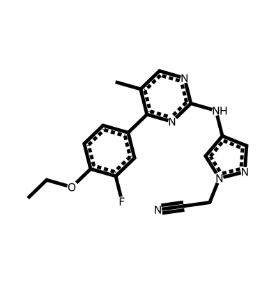 CCOc1ccc(-c2nc(Nc3cnn(CC#N)c3)ncc2C)cc1F